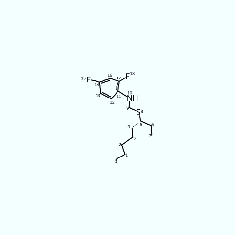 CCCCC[C@@H](CC)SCNc1ccc(F)cc1F